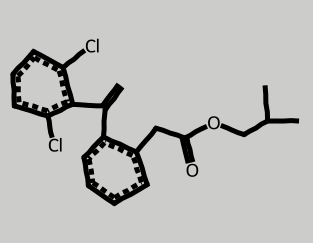 C=C(c1ccccc1CC(=O)OCC(C)C)c1c(Cl)cccc1Cl